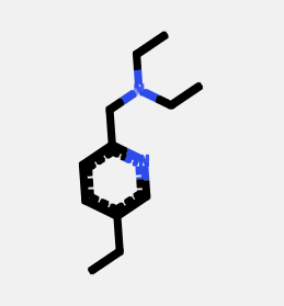 CCc1ccc(CN(CC)CC)nc1